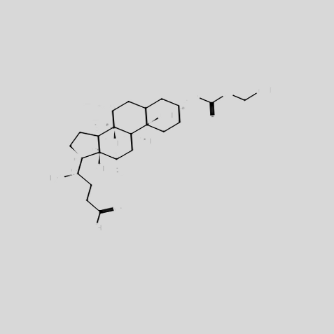 CCOC(=O)O[C@@H]1CC[C@@]2(C)C(C1)C[C@@H](O)[C@H]1[C@@H]3CC[C@H]([C@H](C)CCC(=O)O)[C@@]3(C)[C@@H](O)C[C@@H]12